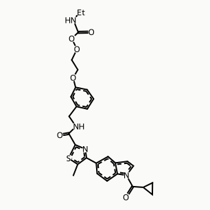 CCNC(=O)OOCCOc1cccc(CNC(=O)c2nc(-c3ccc4c(ccn4C(=O)C4CC4)c3)c(C)s2)c1